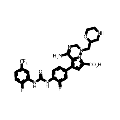 NC1=NCN(CC2CNCCO2)n2c(C(=O)O)cc(-c3ccc(NC(=O)Nc4cc(C(F)(F)F)ccc4F)c(F)c3)c21